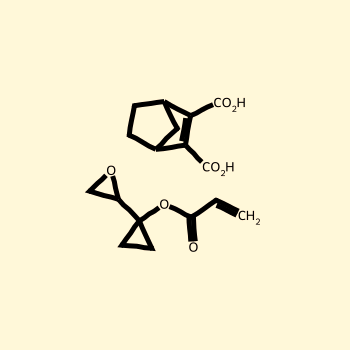 C=CC(=O)OC1(C2CO2)CC1.O=C(O)C1=C(C(=O)O)C2CCC1C2